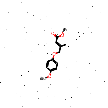 CCC(C)Oc1ccc(OCC(C)=CC(=O)OC(C)C)cc1